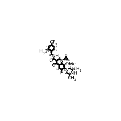 COc1c(N2C[C@@H](C)N[C@@H](C)C2)c(F)cc2c(=O)c(C(=O)NCc3ccc(C(F)(F)F)cc3C)cn(C3CC3)c12